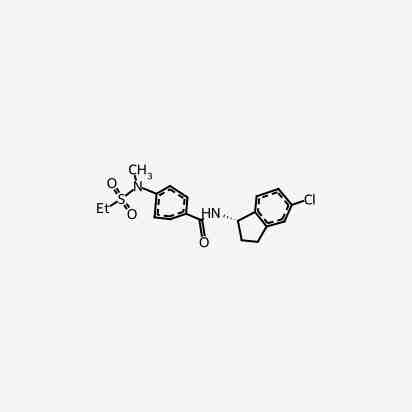 CCS(=O)(=O)N(C)c1ccc(C(=O)N[C@H]2CCc3cc(Cl)ccc32)cc1